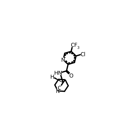 O=C(N[C@H]1CN2CCC1CC2)c1cc(Cl)c(C(F)(F)F)cn1